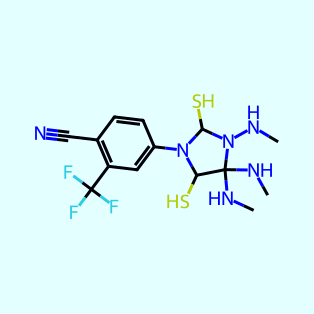 CNN1C(S)N(c2ccc(C#N)c(C(F)(F)F)c2)C(S)C1(NC)NC